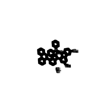 CCCC1=Cc2c(-c3cc4ccccc4c4ccccc34)cccc2C1c1cc(C(C)(C)C)cc2c1[CH]([Zr+2][SiH](c1ccccc1)c1ccccc1)c1ccc(C(C)(C)C)cc1-2.[Cl-].[Cl-]